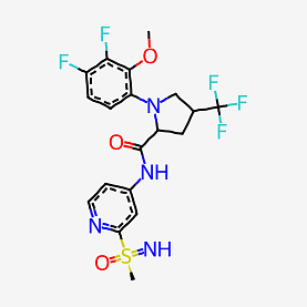 COc1c(N2CC(C(F)(F)F)CC2C(=O)Nc2ccnc([S@](C)(=N)=O)c2)ccc(F)c1F